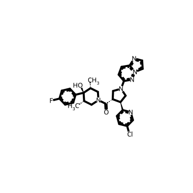 C[C@@H]1CN(C(=O)[C@@H]2CN(c3ccc4nccn4n3)C[C@H]2c2ccc(Cl)cn2)C[C@H](C)[C@]1(O)c1ccc(F)cc1